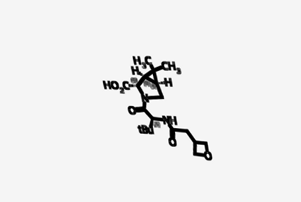 CC(C)(C)[C@H](NC(=O)CC1COC1)C(=O)N1C[C@H]2[C@@H]([C@H]1C(=O)O)C2(C)C